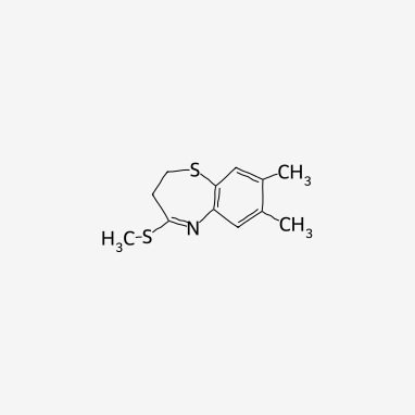 CSC1=Nc2cc(C)c(C)cc2SCC1